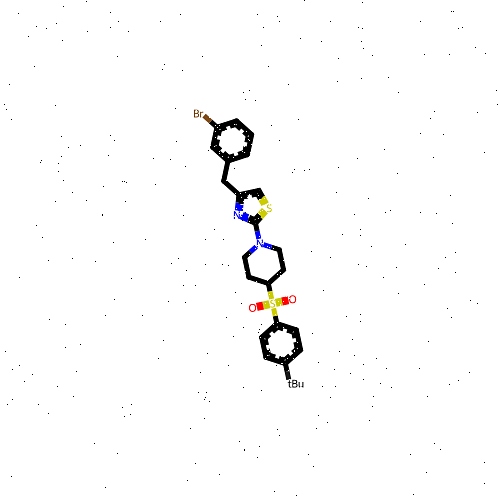 CC(C)(C)c1ccc(S(=O)(=O)C2CCN(c3nc(Cc4cccc(Br)c4)cs3)CC2)cc1